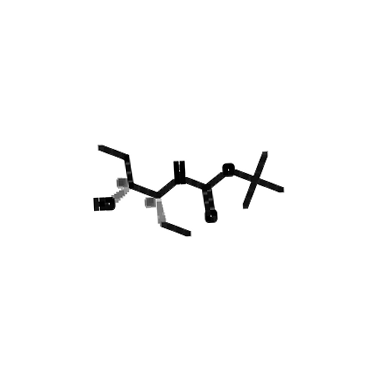 CC[C@@H](O)[C@@H](CC)NC(=O)OC(C)(C)C